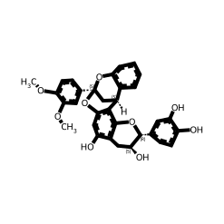 COc1ccc([C@@]23C[C@@H](c4ccccc4O2)c2c(cc(O)c4c2O[C@H](c2ccc(O)c(O)c2)[C@@H](O)C4)O3)cc1OC